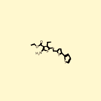 CCOC(=O)c1c(N)sc(/N=C/c2ccc(-c3cccs3)s2)c1CC